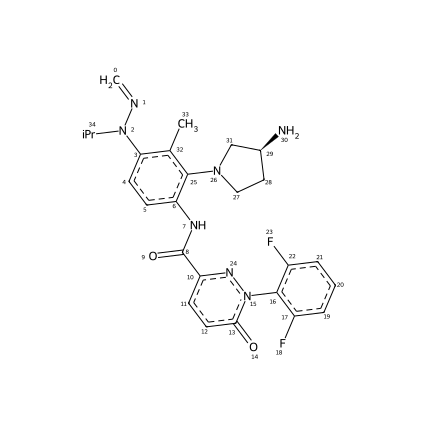 C=NN(c1ccc(NC(=O)c2ccc(=O)n(-c3c(F)cccc3F)n2)c(N2CC[C@H](N)C2)c1C)C(C)C